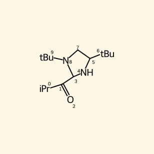 CC(C)C(=O)C1NC(C(C)(C)C)CN1C(C)(C)C